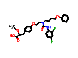 CCOC(Cc1ccc(OCCN(CCCCOc2ccccc2)C(=O)Nc2ccc(F)cc2F)cc1)C(=O)O